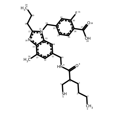 CCCCC(CS)C(=O)NCc1cc(C)c2nc(CCC)n(Cc3ccc(C(=O)O)c(F)c3)c2c1